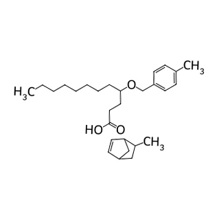 CC1CC2C=CC1C2.CCCCCCCCC(CCC(=O)O)OCc1ccc(C)cc1